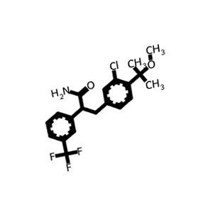 COC(C)(C)c1ccc(CC(C(N)=O)c2cccc(C(F)(F)F)c2)cc1Cl